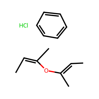 CC=C(C)OC(C)=CC.Cl.c1ccccc1